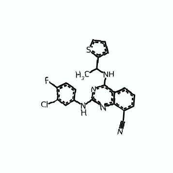 CC(Nc1nc(Nc2ccc(F)c(Cl)c2)nc2c(C#N)cccc12)c1cccs1